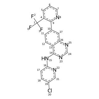 FC(F)(F)c1cccnc1-c1ccc2c(Nc3ccc(Cl)cn3)ncnc2c1